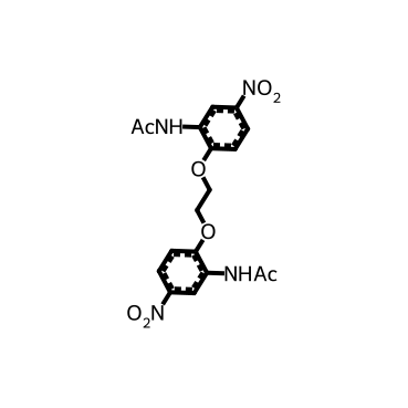 CC(=O)Nc1cc([N+](=O)[O-])ccc1OCCOc1ccc([N+](=O)[O-])cc1NC(C)=O